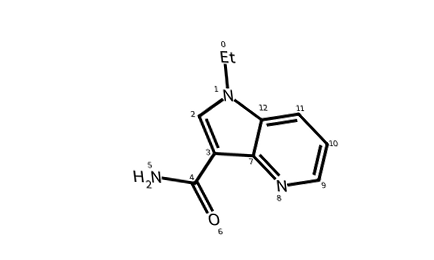 CCn1cc(C(N)=O)c2ncccc21